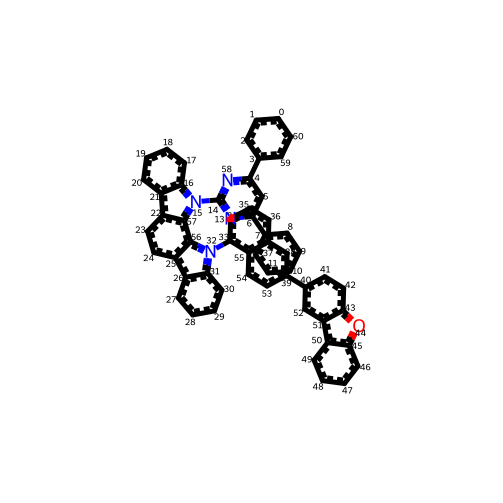 c1ccc(-c2cc(-c3ccccc3)nc(-n3c4ccccc4c4ccc5c6ccccc6n(-c6cccc7cc(-c8ccc9oc%10ccccc%10c9c8)ccc67)c5c43)n2)cc1